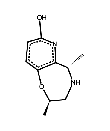 C[C@@H]1CN[C@@H](C)c2nc(O)ccc2O1